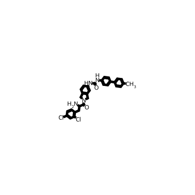 Cc1ccc(-c2ccc(NC(=O)Nc3ccc4c(c3)CN(C(=O)C(N)Cc3ccc(Cl)cc3Cl)C4)cc2)cc1